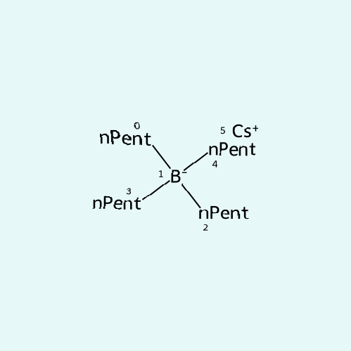 CCCCC[B-](CCCCC)(CCCCC)CCCCC.[Cs+]